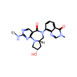 CCNc1ncc2c(n1)N1C[C@@H](O)C[C@H]1CN(c1cccc3c(=O)n(C)cnc13)C2=O